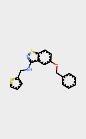 c1ccc(COc2ccc3snc(NCc4cccs4)c3c2)cc1